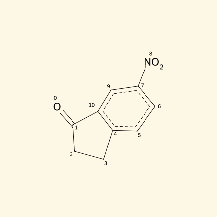 O=C1CCc2ccc([N+](=O)[O-])cc21